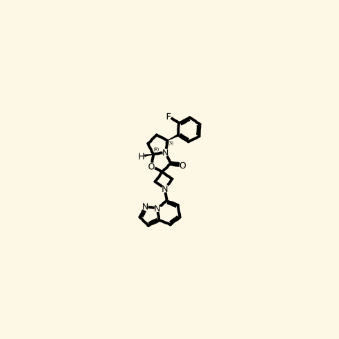 O=C1N2[C@@H](CC[C@H]2c2ccccc2F)OC12CN(c1cccc3ccnn13)C2